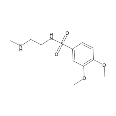 CNCCNS(=O)(=O)c1ccc(OC)c(OC)c1